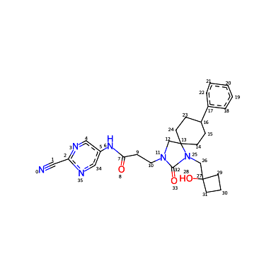 N#Cc1ncc(NC(=O)CCN2CC3(CCC(c4ccccc4)CC3)N(CC3(O)CCC3)C2=O)cn1